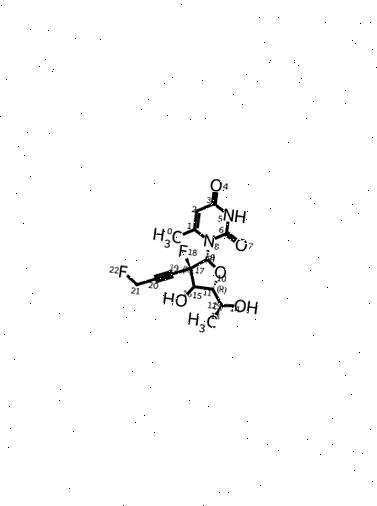 Cc1cc(=O)[nH]c(=O)n1[C@@H]1O[C@H]([C@H](C)O)C(O)[C@]1(F)C#CCF